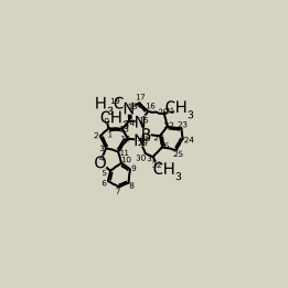 Cc1cc2oc3ccccc3c2c2c1-c1n3c(c[n+]1C)C(C)c1cccc4c1B3N2CC4C